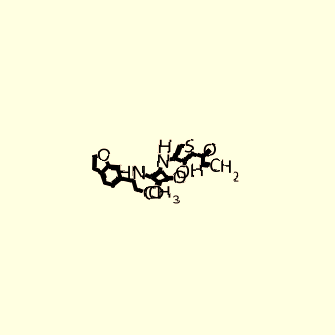 C=CC(=O)c1scc(Nc2c(NC(CC)c3ccc4ccoc4c3)c(=O)c2=O)c1O